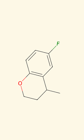 CC1CCOc2ccc(F)cc21